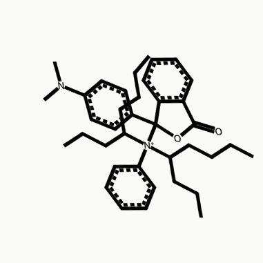 CCCCC(CCC)[N+](c1ccccc1)(C(CCC)CCCC)C1(c2ccc(N(C)C)cc2)OC(=O)c2ccccc21